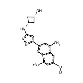 CCOc1cc(C(C)(C)C)c2nc(-c3nnc(N[C@H]4C[C@@H](O)C4)s3)cc(C)c2c1